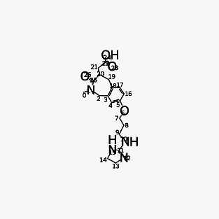 CN1Cc2cc(OCCCNC3=NCCN3)ccc2CC(CC(=O)O)C1=O